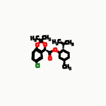 CC(C)[C@@H]1CC[C@@H](C)C[C@H]1OC(=O)[C@H]1OC(C)(C)Oc2ccc(Cl)cc21